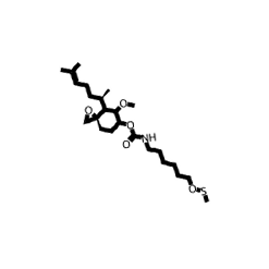 COC1C(OC(=O)NCCCCCCOSC)CC[C@]2(CO2)C1[C@H](C)CCC=C(C)C